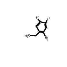 [CH2]Cc1cc(F)c(F)cc1Br